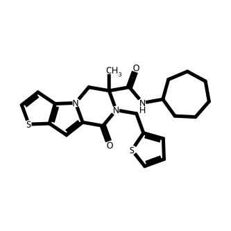 CC1(C(=O)NC2CCCCCC2)Cn2c(cc3sccc32)C(=O)N1Cc1cccs1